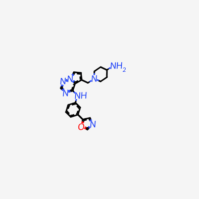 NC1CCN(Cc2ccn3ncnc(Nc4cccc(-c5cnco5)c4)c23)CC1